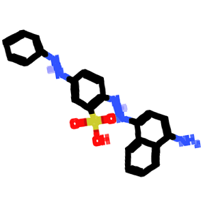 Nc1ccc(/N=N/c2ccc(/N=N/c3ccccc3)cc2S(=O)(=O)O)c2ccccc12